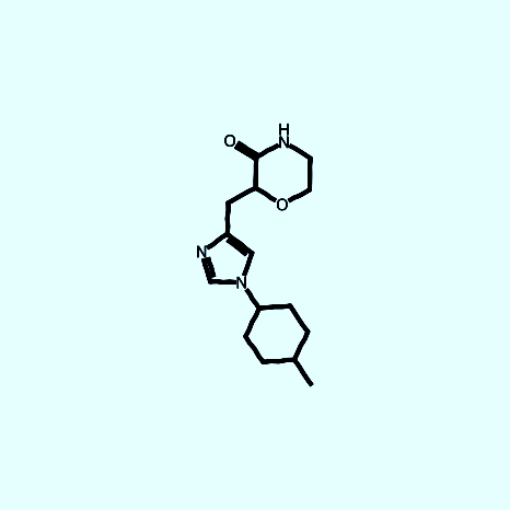 CC1CCC(n2cnc(CC3OCCNC3=O)c2)CC1